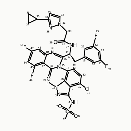 Cn1nc(NS(C)(=O)=O)c2c(Cl)ccc(-n3c([C@H](Cc4cc(F)cc(F)c4)NC(=O)Cn4ccc(C5CC5)n4)nc4cc(F)cc(F)c4c3=O)c21